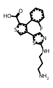 NCCCNc1ncc(-c2csc(C(=O)O)c2-c2ccccc2F)s1